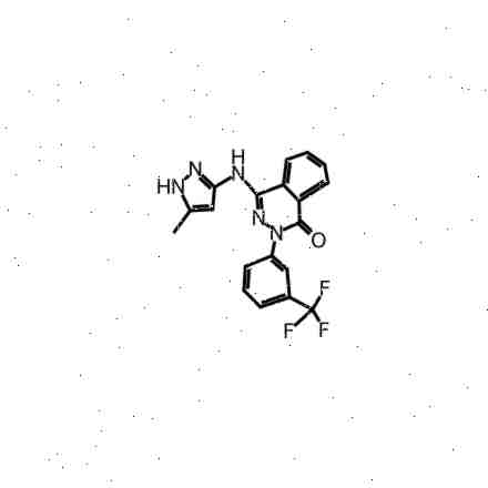 Cc1cc(Nc2nn(-c3cccc(C(F)(F)F)c3)c(=O)c3ccccc23)n[nH]1